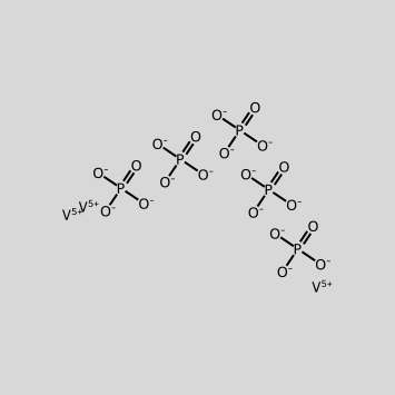 O=P([O-])([O-])[O-].O=P([O-])([O-])[O-].O=P([O-])([O-])[O-].O=P([O-])([O-])[O-].O=P([O-])([O-])[O-].[V+5].[V+5].[V+5]